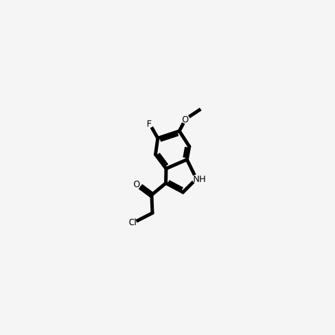 COc1cc2[nH]cc(C(=O)CCl)c2cc1F